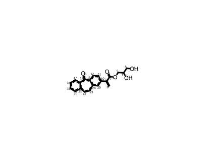 C=C(C(=O)OCC(O)CO)c1ccc2c(=O)c3ccccc3ccc2c1